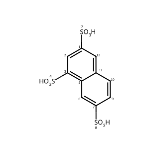 O=S(=O)(O)c1cc(S(=O)(=O)O)c2cc(S(=O)(=O)O)ccc2c1